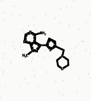 Cn1nc(-c2ccc(CN3CCOCC3)s2)c2c(N)ncnc21